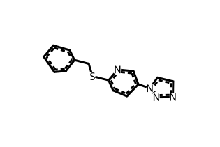 c1ccc(CSc2ccc(-n3ccnn3)cn2)cc1